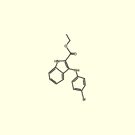 CCOC(=O)c1[nH]c2ccccc2c1Nc1ccc(Br)cc1